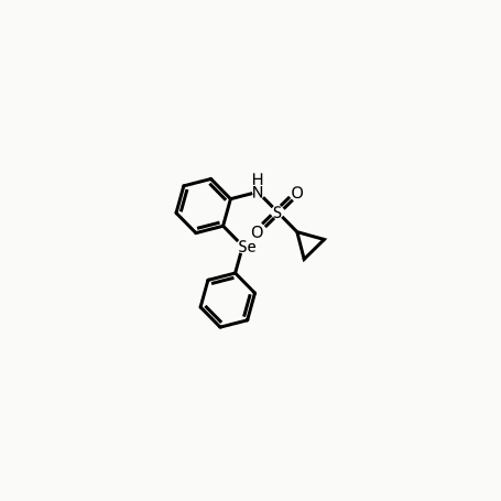 O=S(=O)(Nc1ccccc1[Se]c1ccccc1)C1CC1